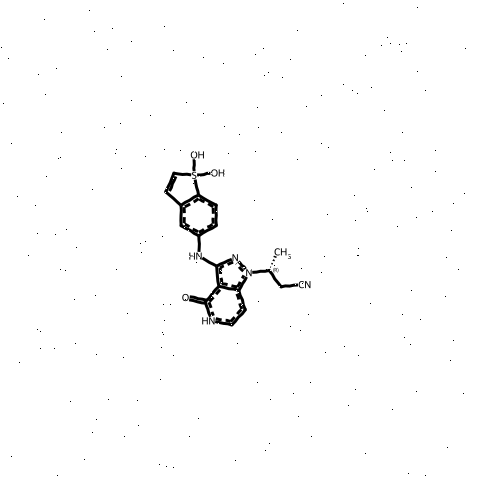 C[C@H](CC#N)n1nc(Nc2ccc3c(c2)C=CS3(O)O)c2c(=O)[nH]ccc21